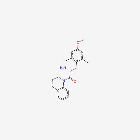 COc1cc(C)c(C[C@@H](N)C(=O)N2CCCc3ccccc32)c(C)c1